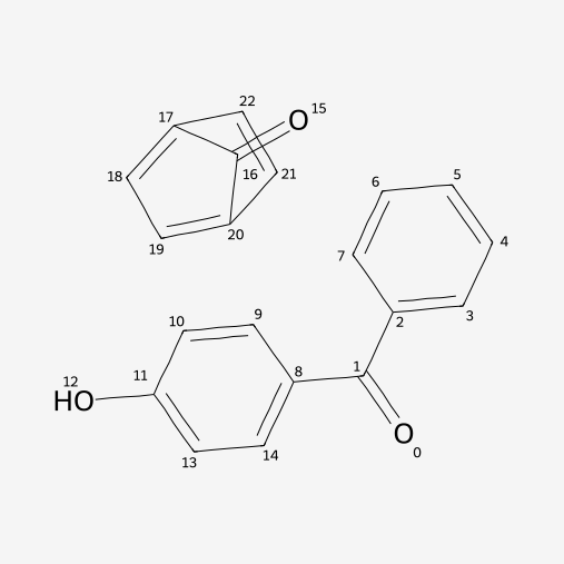 O=C(c1ccccc1)c1ccc(O)cc1.O=C1C2=CC=C1C=C2